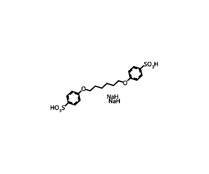 O=S(=O)(O)c1ccc(OCCCCCCOc2ccc(S(=O)(=O)O)cc2)cc1.[NaH].[NaH]